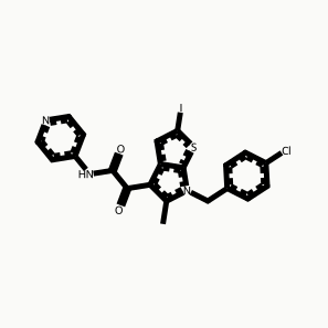 Cc1c(C(=O)C(=O)Nc2ccncc2)c2cc(I)sc2n1Cc1ccc(Cl)cc1